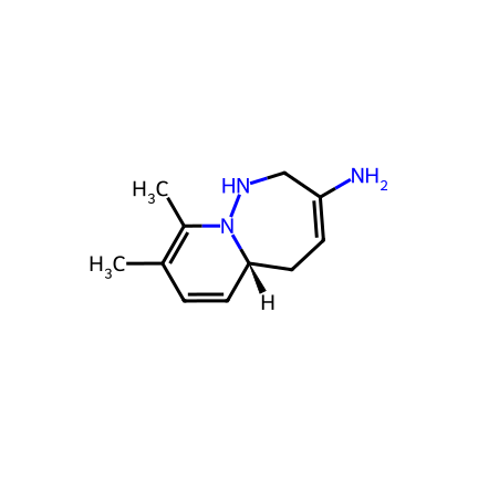 CC1=C(C)N2NCC(N)=CC[C@@H]2C=C1